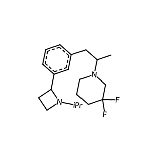 CC(Cc1cccc(C2CCN2C(C)C)c1)N1CCCC(F)(F)C1